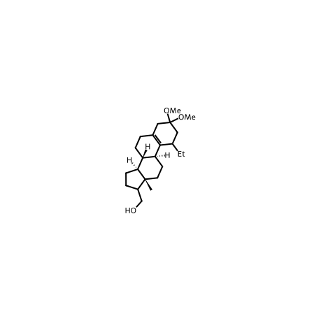 CCC1CC(OC)(OC)CC2=C1[C@H]1CC[C@]3(C)C(CO)CC[C@H]3[C@@H]1CC2